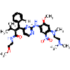 COCCNC(=O)/C(=C(\c1ccnc(Nc2cc([N+](=O)[O-])c(N(C)CCN(C)C)cc2OC)n1)c1ccccc1C)C(C)C